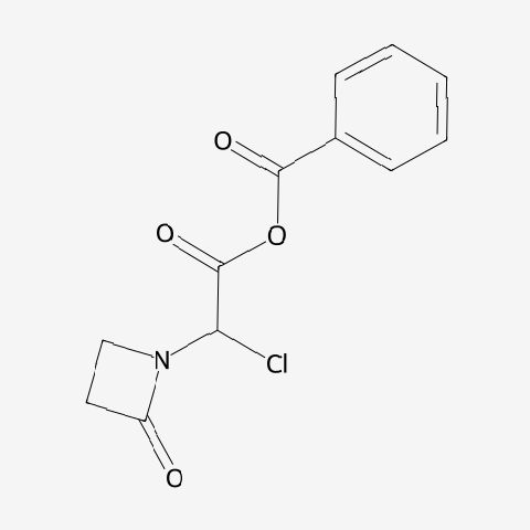 O=C(OC(=O)C(Cl)N1CCC1=O)c1ccccc1